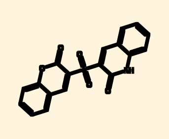 O=c1[nH]c2ccccc2cc1S(=O)(=O)c1cc2ccccc2oc1=O